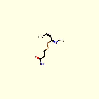 C/C=C\C(=N/C)SSCCC(N)=O